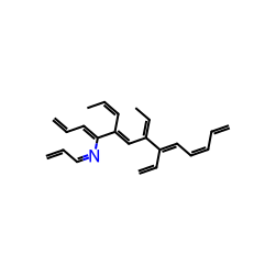 C=C/C=C\C=C(/C=C)C(=CC)/C=C(\C=C/C)C(=C/C=C)/N=C\C=C